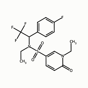 CCN(C(c1ccc(F)cc1)C(F)(F)F)S(=O)(=O)c1ccc(=O)n(CC)c1